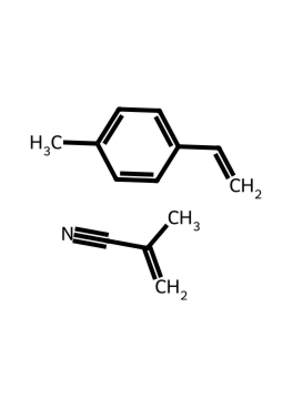 C=C(C)C#N.C=Cc1ccc(C)cc1